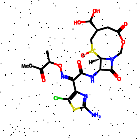 COC(=O)[C@@H](C)O/N=C(\C(=O)N[C@@H]1C(=O)N2COC(=O)C[C@H](C(O)O)C[S+]([O-])[C@H]12)c1nc(N)sc1Cl